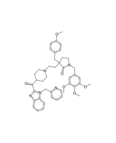 COc1ccc(CC2(CCN3CCC(C(=O)c4nc5ccccc5n4Cc4ccccn4)CC3)CCN(Cc3cc(OC)c(OC)c(OC)c3)C2=O)cc1